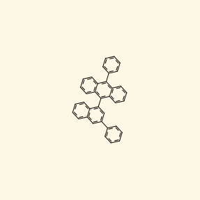 c1ccc(-c2cc(-c3c4ccccc4c(-c4ccccc4)c4ccccc34)c3ccccc3c2)cc1